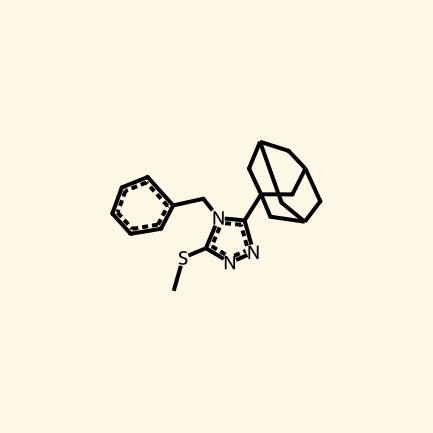 CSc1nnc(C23CC4CC(CC(C4)C2)C3)n1Cc1ccccc1